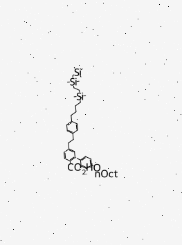 CCCCCCCCOc1ccc(-c2cc(CCc3ccc(CCCC[Si](C)(C)CC[Si](C)(C)C[Si](C)(C)C)cc3)ccc2C(=O)O)cc1